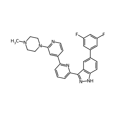 CN1CCN(c2cc(-c3cccc(-c4n[nH]c5ccc(-c6cc(F)cc(F)c6)cc45)n3)ccn2)CC1